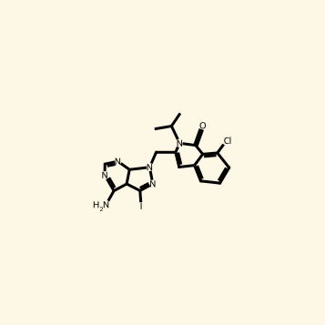 CC(C)n1c(CN2N=C(I)C3C(N)=NC=NC32)cc2cccc(Cl)c2c1=O